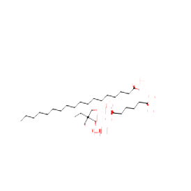 CCC(CO)(CO)CO.CCCCCCCCCCCCCCCCCC(=O)O.O=C(O)CCCCC(=O)O